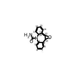 NC(=O)N1c2ccccc2C2OC2=C2C=CC=CC21